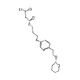 CCC(=O)CC(=O)OCCCSc1ccc(CCOC2CCCCO2)cc1